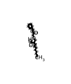 CCCCCCCCC(CNCCC(=O)OCc1ccccc1)C(=O)O